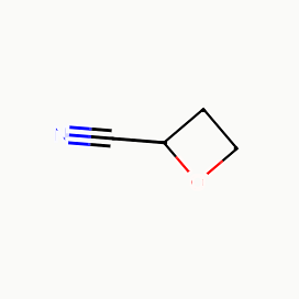 N#CC1C[CH]O1